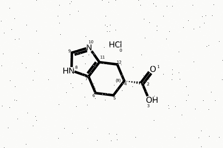 Cl.O=C(O)[C@@H]1CCc2[nH]cnc2C1